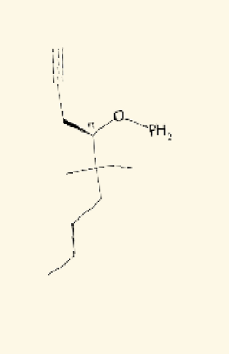 C#CC[C@@H](OP)C(C)(C)CCCC